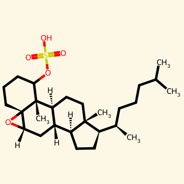 CC(C)CCC[C@@H](C)[C@H]1CC[C@H]2[C@@H]3C[C@@H]4O[C@@]45CCCC(OS(=O)(=O)O)[C@]5(C)[C@H]3CC[C@]12C